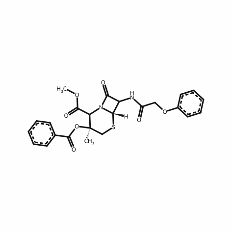 COC(=O)C1N2C(=O)C(NC(=O)COc3ccccc3)[C@@H]2SC[C@@]1(C)OC(=O)c1ccccc1